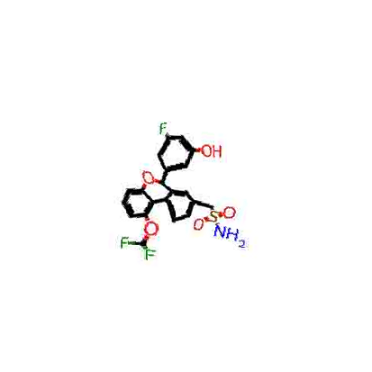 NS(=O)(=O)Cc1ccc2c(c1)C(c1cc(O)cc(F)c1)Oc1cccc(OC(F)F)c1-2